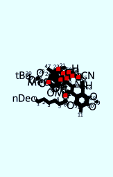 CCCCCCCCCCCCCCCC(=O)Oc1c(C)c2c(c3c1[C@H]1SC[C@]4(NCCc5cc(OC(=O)OC(C)(C)C)c(OC)cc54)C(=O)OC[C@@H]3N3C1[C@H]1c4c(cc(C)c(OC)c4O)C[C@@H]([C@@H]3C#N)N1C)OCO2